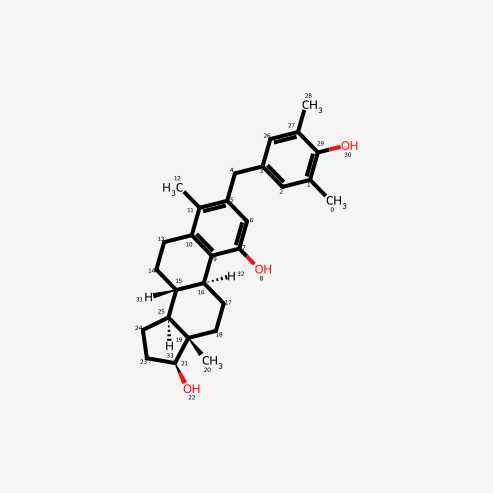 Cc1cc(Cc2cc(O)c3c(c2C)CC[C@@H]2[C@@H]3CC[C@]3(C)[C@@H](O)CC[C@@H]23)cc(C)c1O